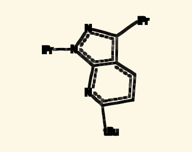 CC(C)c1nn(C(C)C)c2nc(C(C)(C)C)ccc12